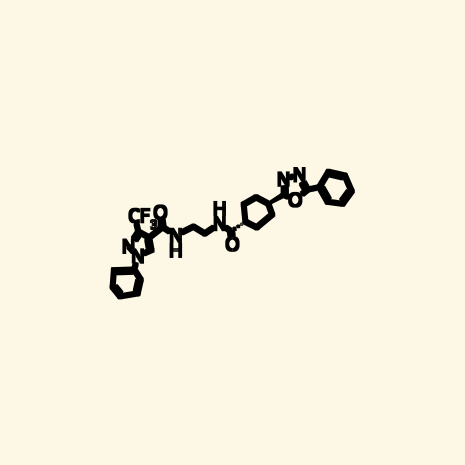 O=C(NCCNC(=O)[C@H]1CC[C@H](c2nnc(-c3ccccc3)o2)CC1)c1cn(-c2ccccc2)nc1C(F)(F)F